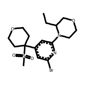 CCC1COCCN1c1cc(C2(S(C)(=O)=O)CCOCC2)cc(Br)n1